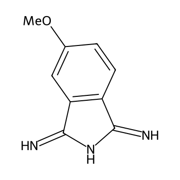 COc1ccc2c(c1)C(=N)NC2=N